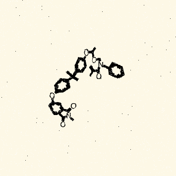 C=C(C)C(=O)N(COC(C)Oc1ccc(C(C)(C)c2ccc(Oc3ccc4c(c3)C(=O)N(C)C4=O)cc2)cc1)c1ccccc1